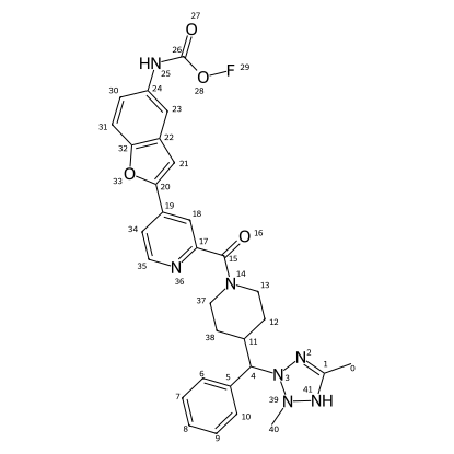 CC1=NN(C(c2ccccc2)C2CCN(C(=O)c3cc(-c4cc5cc(NC(=O)OF)ccc5o4)ccn3)CC2)N(C)N1